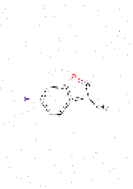 [CH2]c1coc2cc(I)ccc12